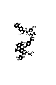 CO[C@@H](C)COc1nc(N2C[C@@H]3C[C@H]2CN3)c2cc(C3CC3)c(-c3c(C)c(F)cc4n[nH]cc34)c(OCc3ccc(-c4cn([C@H](C(=O)N5C[C@H](O)C[C@H]5C(=O)N[C@@H](CO)c5ccc(-c6ccncc6F)cc5)C(C)C)nn4)cc3)c2n1